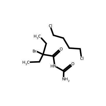 CCC(Br)(CC)C(=O)NC(N)=O.ClCCCCCl